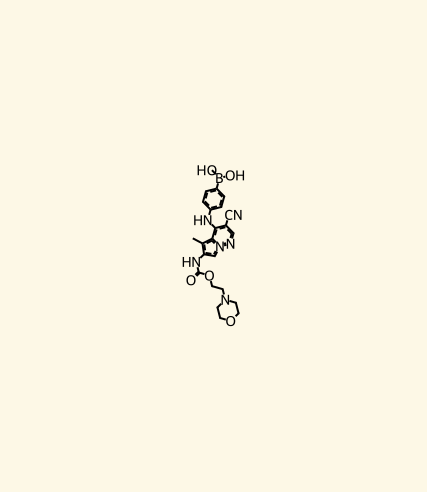 Cc1c(NC(=O)OCCN2CCOCC2)cn2ncc(C#N)c(Nc3ccc(B(O)O)cc3)c12